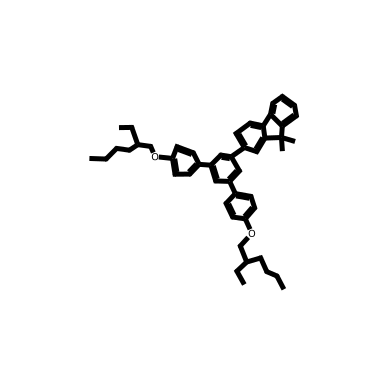 CCCCC(CC)COc1ccc(-c2cc(-c3ccc(OCC(CC)CCCC)cc3)cc(-c3ccc4c(c3)C(C)(C)c3ccccc3-4)c2)cc1